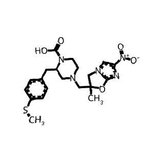 CSc1ccc(CC2CN(CC3(C)Cn4cc([N+](=O)[O-])nc4O3)CCN2C(=O)O)cc1